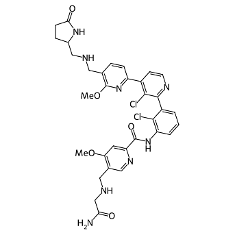 COc1cc(C(=O)Nc2cccc(-c3nccc(-c4ccc(CNCC5CCC(=O)N5)c(OC)n4)c3Cl)c2Cl)ncc1CNCC(N)=O